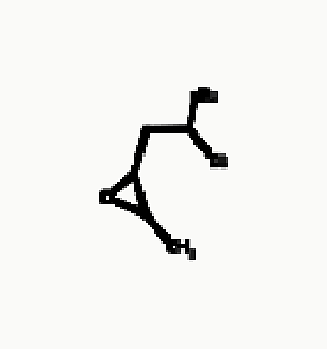 CCCCC(CC)CC1OC1C